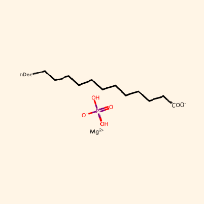 CCCCCCCCCCCCCCCCCCCCCC(=O)[O-].O=P([O-])(O)O.[Mg+2]